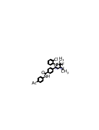 C/N=C(\C=C(/Nc1ccccc1Cl)c1ccc(C(=O)Nc2ccc(C(C)=O)cc2)cc1)C(C)(F)F